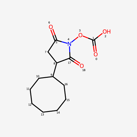 O=C(O)ON1C(=O)CC(C2CCCCCCC2)C1=O